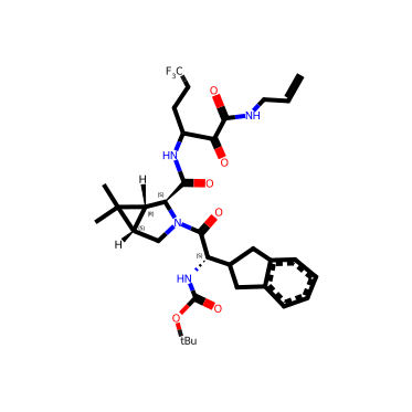 C=CCNC(=O)C(=O)C(CCC(F)(F)F)NC(=O)[C@@H]1[C@@H]2[C@H](CN1C(=O)[C@@H](NC(=O)OC(C)(C)C)C1Cc3ccccc3C1)C2(C)C